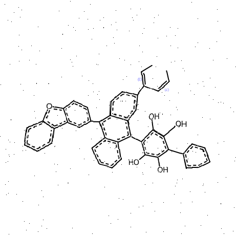 C/C=C\C(=C/C)c1ccc2c(-c3ccc4oc5ccccc5c4c3)c3ccccc3c(-c3c(O)c(O)c(-c4ccccc4)c(O)c3O)c2c1